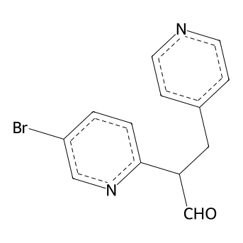 O=CC(Cc1ccncc1)c1ccc(Br)cn1